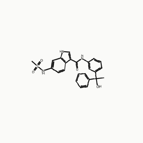 CC(O)(c1ccccc1)c1cccc(NC(=O)c2c[nH]c3cc(NS(C)(=O)=O)ccc23)c1